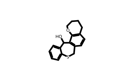 OC1c2ccccc2SCc2ccc3c(c21)OCCCC3